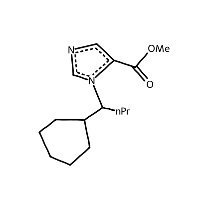 CCCC(C1CCCCC1)n1cncc1C(=O)OC